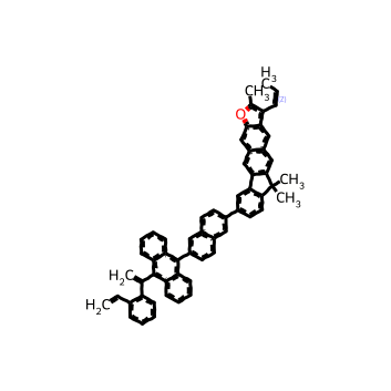 C=Cc1ccccc1C(=C)c1c2ccccc2c(-c2ccc3cc(-c4ccc5c(c4)-c4cc6cc7oc(C)c(/C=C\C)c7cc6cc4C5(C)C)ccc3c2)c2ccccc12